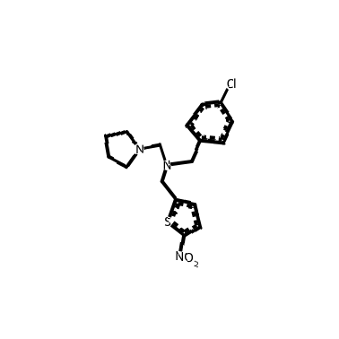 O=[N+]([O-])c1ccc(CN(Cc2ccc(Cl)cc2)CN2CCCC2)s1